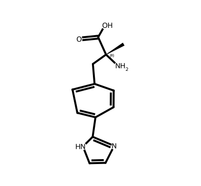 C[C@@](N)(Cc1ccc(-c2ncc[nH]2)cc1)C(=O)O